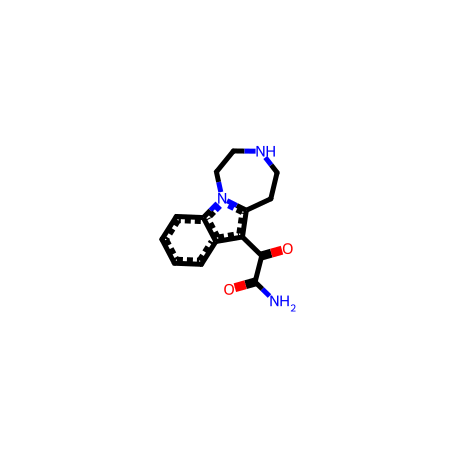 NC(=O)C(=O)c1c2n(c3ccccc13)CCNCC2